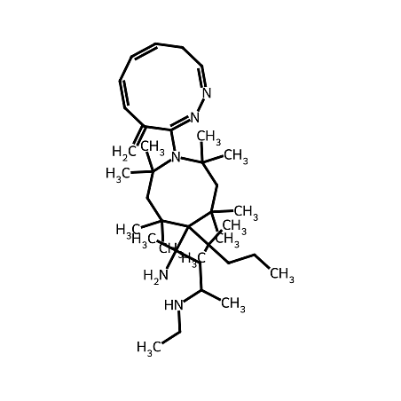 C=C1/C=C\C=C/C/C=N\N=C/1N1C(C)(C)CC(C)(C)C(C(C)(C)CCC)(C(C)(N)CC(C)NCC)C(C)(C)CC1(C)C